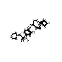 CN(C(=O)CN1CCOCC1)c1ccc(OC2CCN(C3CCC3)CC2)cc1